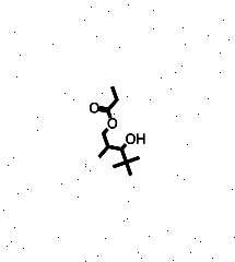 CCC(=O)OCC(C)C(O)C(C)(C)C